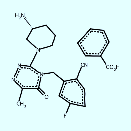 Cc1nnc(N2CCC[C@@H](N)C2)n(Cc2cc(F)ccc2C#N)c1=O.O=C(O)c1ccccc1